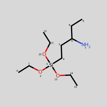 CCO[Si](CCC(N)CC)(OCC)OCC